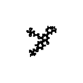 C=C/C=C(\N=C/N)c1cc(=O)n(-c2ccc(OCC(F)(F)F)cc2)c(OCCCS(C)(=O)=O)n1